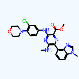 CNc1nc(Nc2ccc(N3CCOCC3)c(Cl)c2)c(C(=O)OC)nc1-c1cccc2c1ncn2C